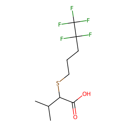 CC(C)C(SCCCC(F)(F)C(F)(F)F)C(=O)O